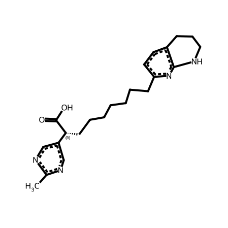 Cc1ncc([C@@H](CCCCCCCc2ccc3c(n2)NCCC3)C(=O)O)cn1